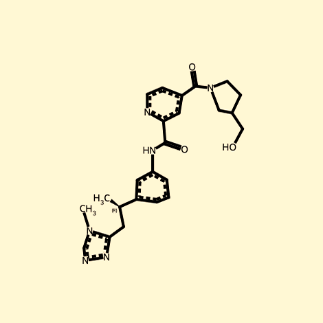 C[C@H](Cc1nncn1C)c1cccc(NC(=O)c2cc(C(=O)N3CCC(CO)C3)ccn2)c1